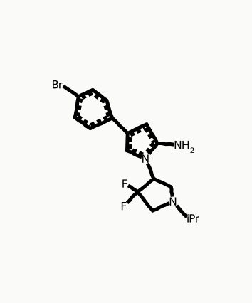 CC(C)N1CC(n2cc(-c3ccc(Br)cc3)cc2N)C(F)(F)C1